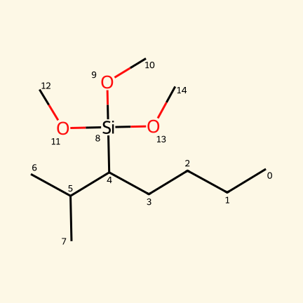 CCCCC(C(C)C)[Si](OC)(OC)OC